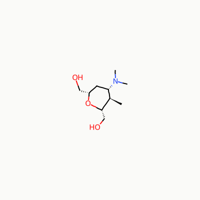 C[C@H]1[C@H](CO)O[C@H](CO)C[C@@H]1N(C)C